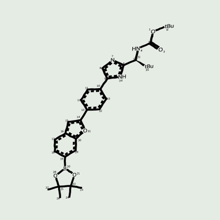 CC(C)(C)OC(=O)N[C@H](c1ncc(-c2ccc(-c3cc4ccc(B5OC(C)(C)C(C)(C)O5)cc4o3)cc2)[nH]1)C(C)(C)C